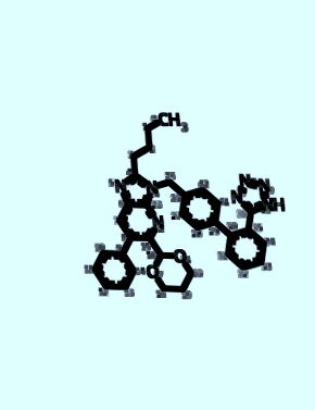 CCCCc1nc2cc(-c3ccccc3)c(C3OCCCO3)nc2n1Cc1ccc(-c2ccccc2-c2nnn[nH]2)cc1